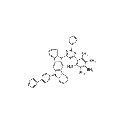 Bc1c(B)c(B)c(-c2nc(-c3ccccc3)nc(-n3c4ccccc4c4cc5c(cc43)C3C=CC=CC3N5c3ccc(-c4ccccc4)cc3)n2)c(B)c1B